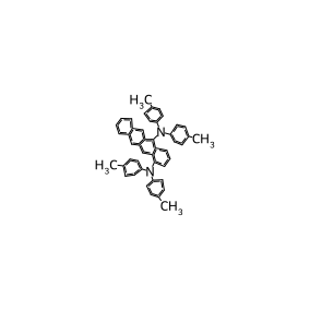 Cc1ccc(N(c2ccc(C)cc2)c2cccc3c(N(c4ccc(C)cc4)c4ccc(C)cc4)c4cc5ccccc5cc4cc23)cc1